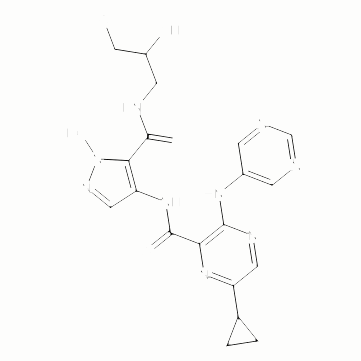 CC(CO)CNC(=O)c1c(NC(=O)c2nc(C3CC3)cnc2Nc2cncnc2)cnn1C